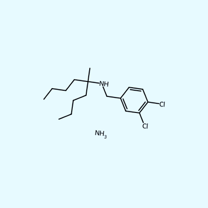 CCCCC(C)(CCCC)NCc1ccc(Cl)c(Cl)c1.N